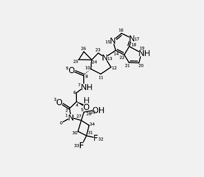 CN(C(=O)[C@H](O)CNC(=O)[C@H]1CCN(c2ncnc3[nH]ccc23)CC12CC2)C1(CO)CC(F)(F)C1